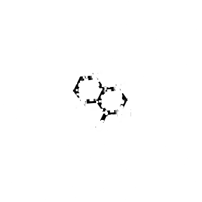 O=c1[nH]cnc2nc[c]nc12